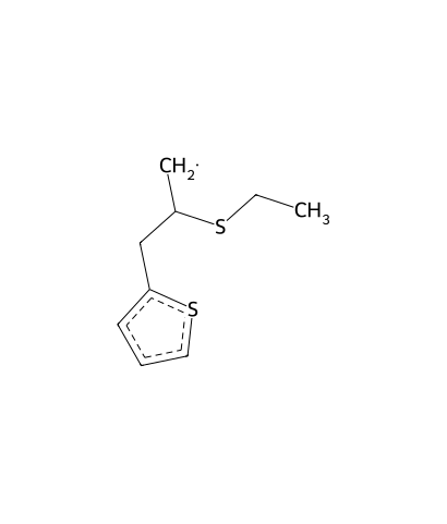 [CH2]C(Cc1cccs1)SCC